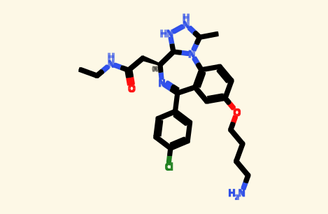 CCNC(=O)C[C@@H]1N=C(c2ccc(Cl)cc2)c2cc(OCCCCN)ccc2N2C(C)NNC12